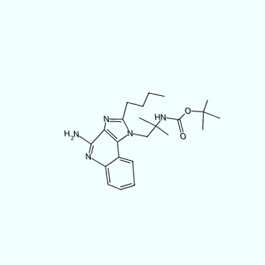 CCCCc1nc2c(N)nc3ccccc3c2n1CC(C)(C)NC(=O)OC(C)(C)C